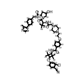 Cc1ncsc1-c1ccc(CNC(=O)[C@@H]2C[C@@H](O)CN2C(=O)[C@@H](NC(=O)CN2CCN(CCOc3ccc(C(=O)NC4C(C)(C)C(Oc5ccc(C#N)c(Cl)c5)C4(C)C)cc3)CC2)C(C)(C)C)cc1